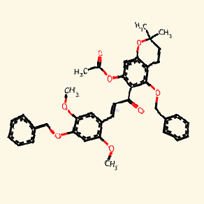 COc1cc(OCc2ccccc2)c(OC)cc1/C=C/C(=O)c1c(OC(C)=O)cc2c(c1OCc1ccccc1)CCC(C)(C)O2